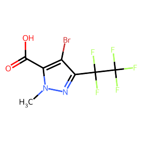 Cn1nc(C(F)(F)C(F)(F)F)c(Br)c1C(=O)O